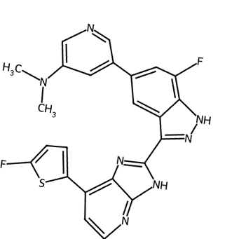 CN(C)c1cncc(-c2cc(F)c3[nH]nc(-c4nc5c(-c6ccc(F)s6)ccnc5[nH]4)c3c2)c1